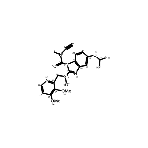 C#CN(C)C(=O)n1c([S+]([O-])Cc2nccc(OC)c2OC)nc2cc(OC(F)F)ccc21